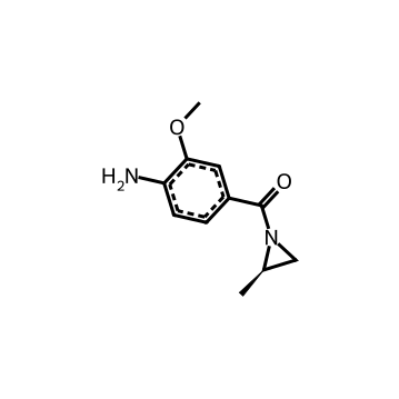 COc1cc(C(=O)N2C[C@H]2C)ccc1N